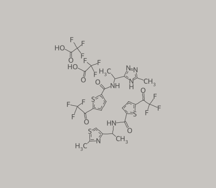 Cc1nc(C(C)NC(=O)c2ccc(C(=O)C(F)(F)F)s2)cs1.Cc1nnc(C(C)NC(=O)c2ccc(C(=O)C(F)(F)F)s2)[nH]1.O=C(O)C(F)(F)F.O=C(O)C(F)(F)F